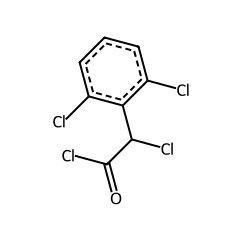 O=C(Cl)C(Cl)c1c(Cl)cccc1Cl